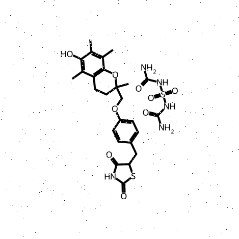 Cc1c(C)c2c(c(C)c1O)CCC(C)(COc1ccc(CC3SC(=O)NC3=O)cc1)O2.NC(=O)NS(=O)(=O)NC(N)=O